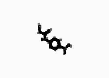 C[S+]([O-])c1ccc(NC(=O)CCl)cc1